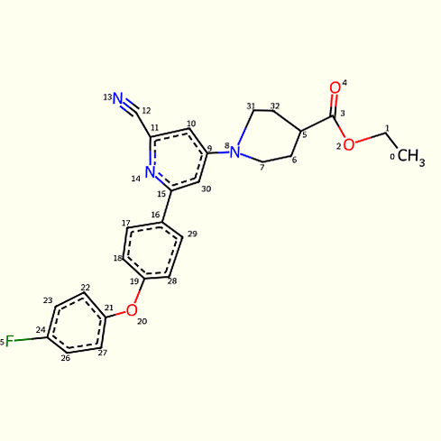 CCOC(=O)C1CCN(c2cc(C#N)nc(-c3ccc(Oc4ccc(F)cc4)cc3)c2)CC1